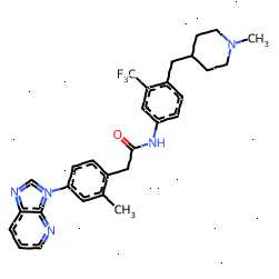 Cc1cc(-n2cnc3cccnc32)ccc1CC(=O)Nc1ccc(CC2CCN(C)CC2)c(C(F)(F)F)c1